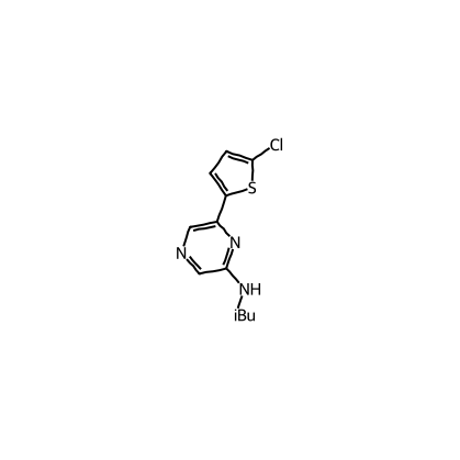 CCC(C)Nc1cncc(-c2ccc(Cl)s2)n1